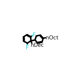 CCCCCCCCCCC1(C2C=CC(CCCCCCCC)=CC2)C(F)=CC=CC1F